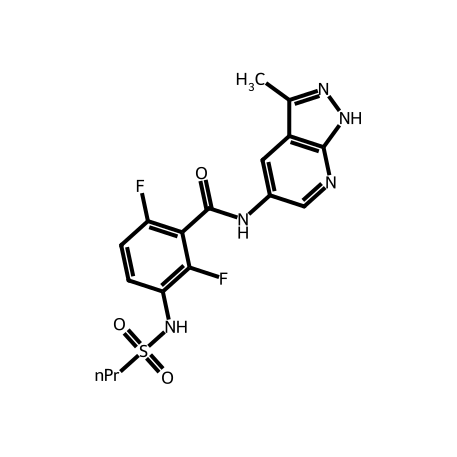 CCCS(=O)(=O)Nc1ccc(F)c(C(=O)Nc2cnc3[nH]nc(C)c3c2)c1F